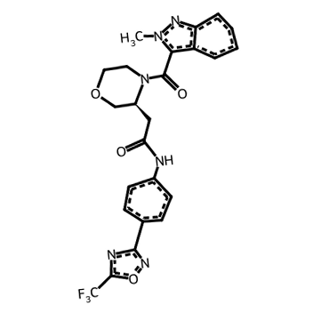 Cn1nc2ccccc2c1C(=O)N1CCOC[C@@H]1CC(=O)Nc1ccc(-c2noc(C(F)(F)F)n2)cc1